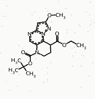 CCOC(=O)C1CCN(C(=O)OC(C)(C)C)c2cnc3cc(OC)nn3c21